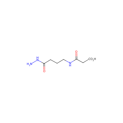 NNC(=O)CCCNC(=O)CC(=O)O